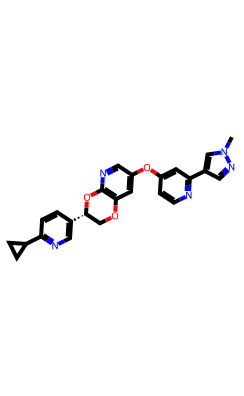 Cn1cc(-c2cc(Oc3cnc4c(c3)OC[C@H](c3ccc(C5CC5)nc3)O4)ccn2)cn1